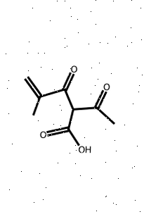 C=C(C)C(=O)C(C(C)=O)C(=O)O